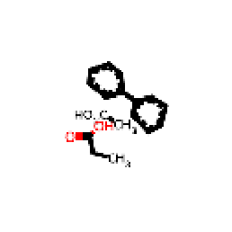 CC(=O)O.CCC(=O)O.c1ccc(-c2ccccc2)cc1